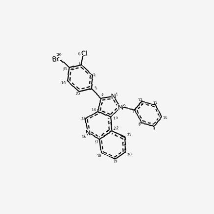 Clc1cc(-c2nn(-c3ccccc3)c3c2cnc2ccccc23)ccc1Br